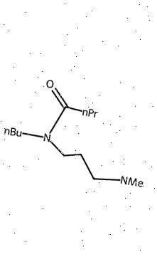 CCCCN(CCCNC)C(=O)CCC